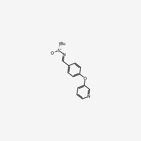 CC(C)(C)[S@@+]([O-])/N=C/c1ccc(Oc2cccnc2)cc1